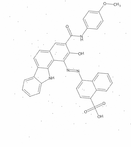 COc1ccc(NC(=O)c2cc3ccc4c5ccccc5[nH]c4c3c(N=Nc3ccc(S(=O)(=O)O)c4ccccc34)c2O)cc1